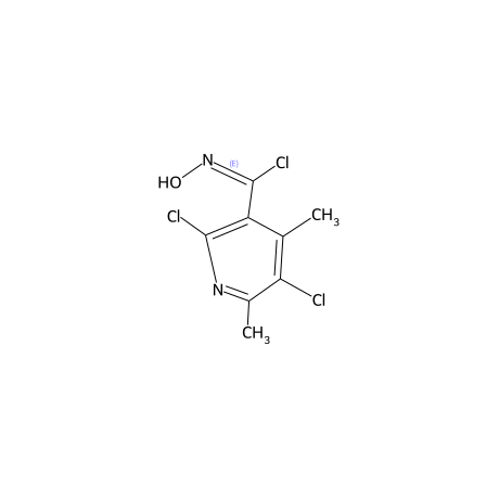 Cc1nc(Cl)c(/C(Cl)=N\O)c(C)c1Cl